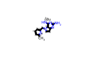 CCCCNc1nc(N)nc2ccn(Cc3cccc(C)n3)c12